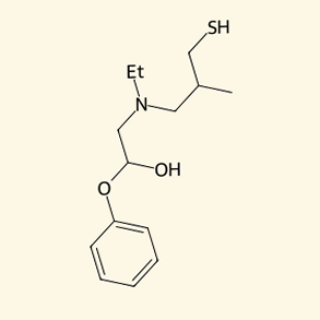 CCN(CC(C)CS)CC(O)Oc1ccccc1